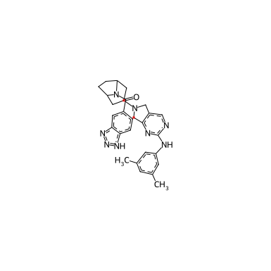 Cc1cc(C)cc(Nc2ncc3c(n2)CN(C2CC4CCC(C2)N4C(=O)c2ccc4[nH]nnc4c2)C3)c1